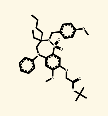 CCCC[C@]1(CC)CN(c2ccccc2)c2cc(SC)c(OCC(=O)OC(C)(C)C)cc2S(=O)(=O)N1Cc1ccc(OC)cc1